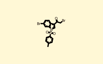 Cc1ccc(S(=O)(=O)n2cc(C(=O)CBr)c3ccc(Br)cc32)cc1